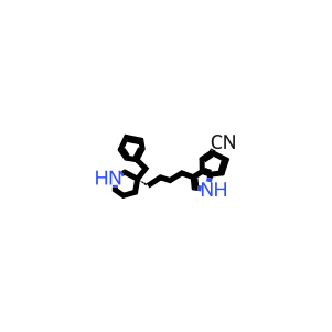 N#Cc1ccc2[nH]cc(CCCC[C@]3(Cc4ccccc4)CCCNC3)c2c1